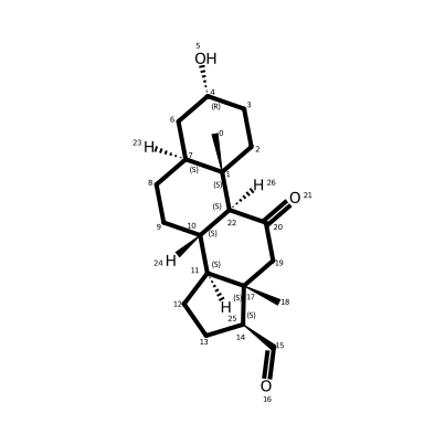 C[C@]12CC[C@@H](O)C[C@@H]1CC[C@H]1[C@@H]3CC[C@H](C=O)[C@@]3(C)CC(=O)[C@@H]12